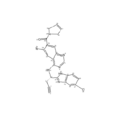 C#CC[C@H](Nc1ncnc2cc(C(=O)N3CC=CC3)c(Br)cc12)c1nc2cc(Cl)ccc2[nH]1